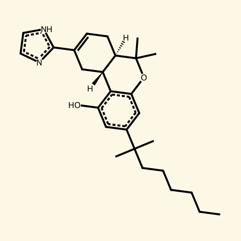 CCCCCCC(C)(C)c1cc(O)c2c(c1)OC(C)(C)[C@@H]1CC=C(c3ncc[nH]3)C[C@@H]21